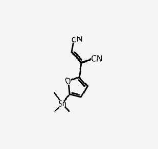 [CH3][Sn]([CH3])([CH3])[c]1ccc(C(C#N)=CC#N)o1